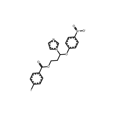 O=C(OCCC(Oc1ccc([N+](=O)[O-])cc1)n1ccnc1)c1ccc(I)cc1